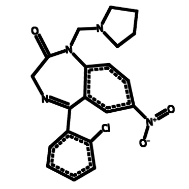 O=C1CN=C(c2ccccc2Cl)c2cc([N+](=O)[O-])ccc2N1CN1CCCC1